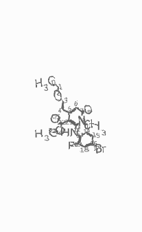 CCO/C=C/c1cc(=O)n(C)c(Nc2ccc(Br)cc2F)c1C(=O)OC